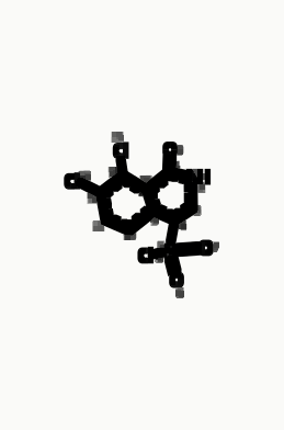 O=c1[nH]cc(S(=O)(=O)Cl)c2ccc(Cl)c(Cl)c12